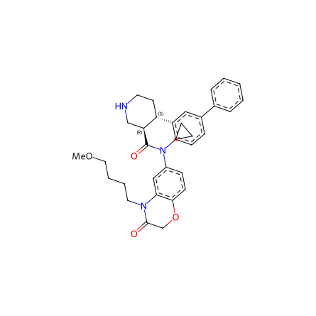 COCCCCN1C(=O)COc2ccc(N(C(=O)[C@H]3CNCC[C@@H]3c3cccc(-c4ccccc4)c3)C3CC3)cc21